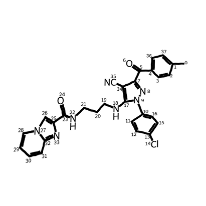 Cc1ccc(C(=O)c2nn(-c3ccc(Cl)cc3)c(NCCCNC(=O)c3cn4ccccc4n3)c2C#N)cc1